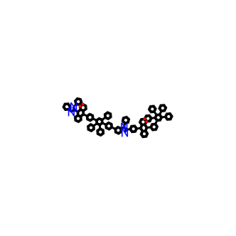 c1ccc(-c2cc(-c3ccc(-c4c5ccccc5c(-c5nc6ccccc6n5-c5ccccc5)c5ccccc45)cc3)c(-c3ccccc3)c(-c3ccccc3)c2-c2ccc(-c3ccc4nc(-c5ccc(-c6c7ccccc7c(-c7cccc(-c8cc(-c9ccccc9)c(-c9ccccc9)c(-c9ccccc9)c8-c8ccccc8)c7)c7ccccc67)cc5)n(-c5ccccc5)c4c3)cc2)cc1